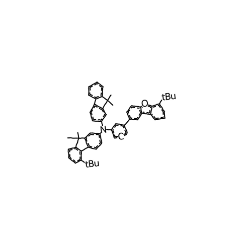 CC(C)(C)c1cccc2c1-c1ccc(N(c3cccc(-c4ccc5oc6c(C(C)(C)C)cccc6c5c4)c3)c3ccc4c(c3)C(C)(C)c3ccccc3-4)cc1C2(C)C